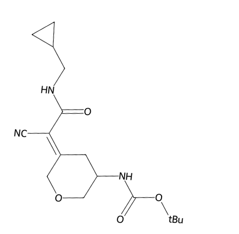 CC(C)(C)OC(=O)NC1COC/C(=C(\C#N)C(=O)NCC2CC2)C1